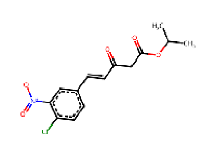 CC(C)OC(=O)CC(=O)C=Cc1ccc(Cl)c([N+](=O)[O-])c1